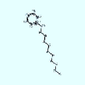 CCCCCCCCCCC[n+]1ccccc1